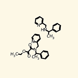 CC(NCc1ccccn1)c1ccccc1.CCOC(=O)C(=O)N(Cc1ccccn1)C(C)c1ccccc1